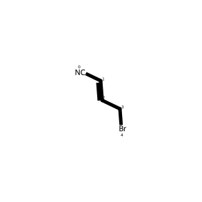 N#CC=CCBr